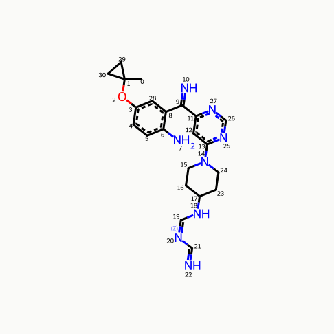 CC1(Oc2ccc(N)c(C(=N)c3cc(N4CCC(N/C=N\C=N)CC4)ncn3)c2)CC1